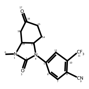 CN1C(=O)N(c2ccc(C#N)c(C(F)(F)F)c2)C2CCC(=O)CC21